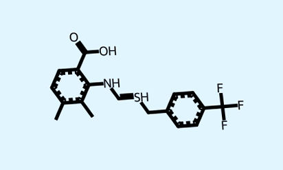 Cc1ccc(C(=O)O)c(NC=[SH]Cc2ccc(C(F)(F)F)cc2)c1C